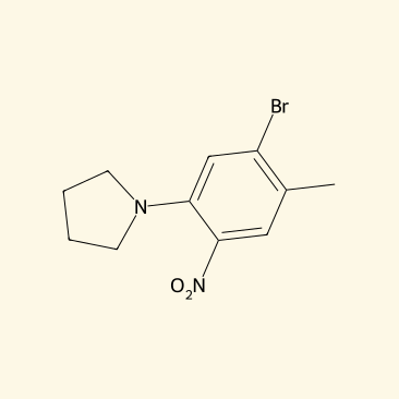 Cc1cc([N+](=O)[O-])c(N2CCCC2)cc1Br